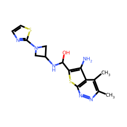 Cc1nnc2sc(C(O)NC3CN(c4nccs4)C3)c(N)c2c1C